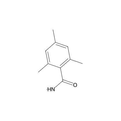 Cc1cc(C)c(C([NH])=O)c(C)c1